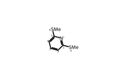 CSc1cccc(SC)n1